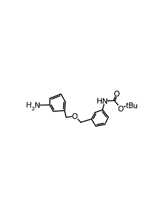 CC(C)(C)OC(=O)Nc1cccc(COCc2cccc(N)c2)c1